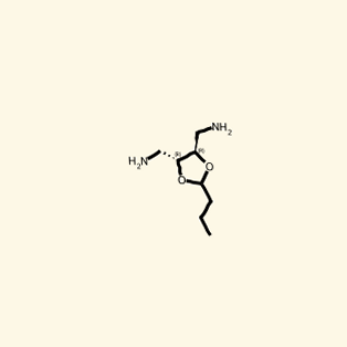 CCCC1O[C@H](CN)[C@@H](CN)O1